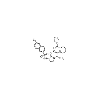 CCOC(=O)C1CCCCN1C(=O)C(C)N1CCC(NS(=O)(=O)c2ccc3cc(Cl)ccc3c2)C1=O